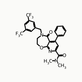 CN(C)C(=O)c1cc(-c2ccccc2)c2c(n1)OCCN(Cc1cc(C(F)(F)F)cc(C(F)(F)F)c1)C2=O